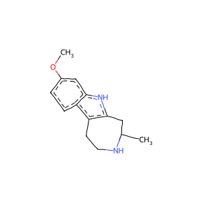 COc1ccc2c3c([nH]c2c1)CC(C)NCC3